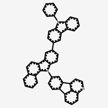 c1ccc(-n2c3ccccc3c3cc(-c4ccc5c(c4)c4ccc6ccccc6c4n5-c4ccc5c(c4)-c4ccnc6cccc-5c46)ccc32)cc1